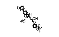 CNS(=O)(=O)c1cccc(OCC(O)CNC2COC3(CCN(c4nccc(OC)n4)CC3)C2)c1.Cl.Cl